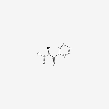 CCC(=O)C(Br)C(=O)c1ccccc1